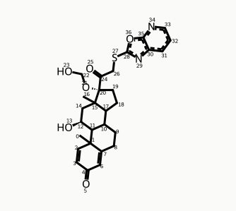 CC12C=CC(=O)C=C1CCC1C2[C@@H](O)CC2(C)C1CC[C@]2(OCO)C(=O)CSc1nc2cccnc2o1